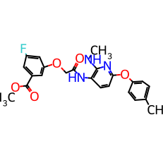 CNc1nc(Oc2ccc(C)cc2)ccc1NC(=O)COc1cc(F)cc(C(=O)OC)c1